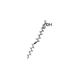 CCCCCCCCC#CCCCCCCCCOCC(C)O